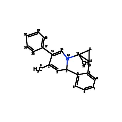 CC1=CC2c3ccccc3C3CC3(C)N2C=C1c1ccccc1